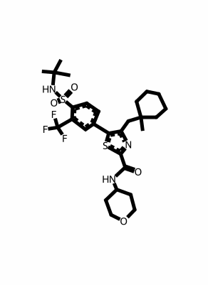 CC1(Cc2nc(C(=O)NC3CCOCC3)sc2-c2ccc(S(=O)(=O)NC(C)(C)C)c(C(F)(F)F)c2)CCCCC1